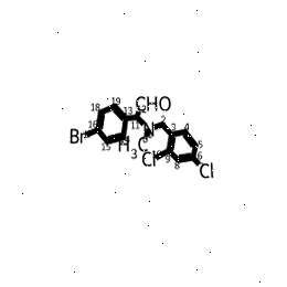 CN(Cc1ccc(Cl)cc1Cl)C(C=O)c1ccc(Br)cc1